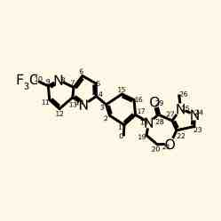 Cc1cc(-c2ccc3nc(C(F)(F)F)ccc3n2)ccc1N1CCOc2cnn(C)c2C1=O